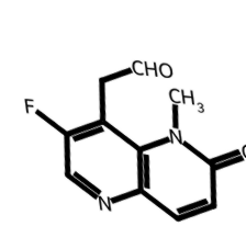 Cn1c(=O)ccc2ncc(F)c(CC=O)c21